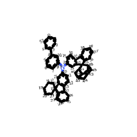 c1ccc(-c2cccc(N(c3ccc4c(c3)C3(CCCCC3)c3ccccc3-4)c3ccc4c(c3)C3(c5ccccc5-4)C4CC5CC(C4)CC3C5)c2)cc1